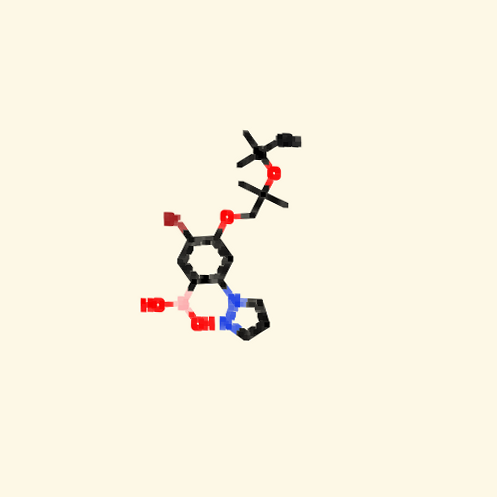 CC(C)(COc1cc(-n2cccn2)c(B(O)O)cc1Br)O[Si](C)(C)C(C)(C)C